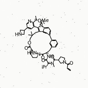 C=CC(=O)N1CCC(C(=O)N(C)[C@H](C(=O)N[C@H]2Cc3cccc(c3)-c3ccc4c(c3)c(c(-c3cc(C5CNC5)cnc3[C@H](C)OC)n4CC)CC(C)(C)COC(=O)[C@@H]3CCCN(N3)C2=O)C(C)C)C1